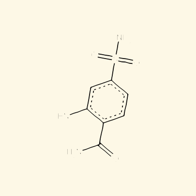 [NH]c1cc(S(N)(=O)=O)ccc1C(N)=O